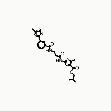 Cc1nc(-c2cccc(C(=O)NCCC(=O)Nc3nc(C)c(C(=O)OCC(C)C)s3)c2)no1